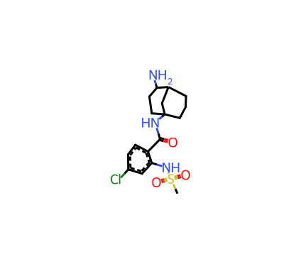 CS(=O)(=O)Nc1cc(Cl)ccc1C(=O)NC12CCCC(C1)C(N)CC2